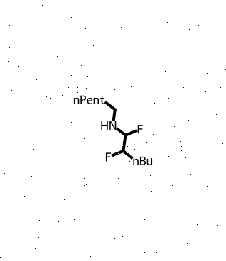 CCCCCCNC(F)C(F)CCCC